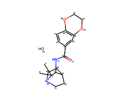 CC1(C)C(NC(=O)c2ccc3c(c2)OCCO3)C2CCN1CC2.Cl